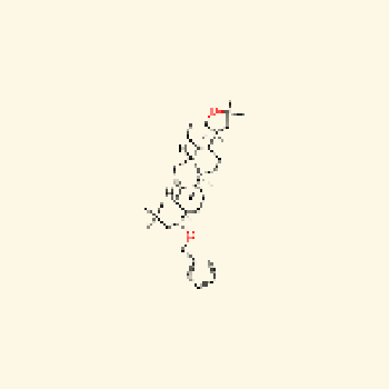 CC1(C)C[C@@H]2C3=CC[C@@H]4[C@@]5(C)CCC6OC(C)(C)C[C@@]6(C)C5CC[C@@]4(C)[C@]3(C)CC[C@@]2(C)[C@H](OCc2ccccc2)C1